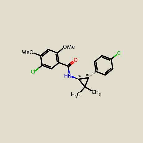 COc1cc(OC)c(C(=O)N[C@H]2[C@H](c3ccc(Cl)cc3)C2(C)C)cc1Cl